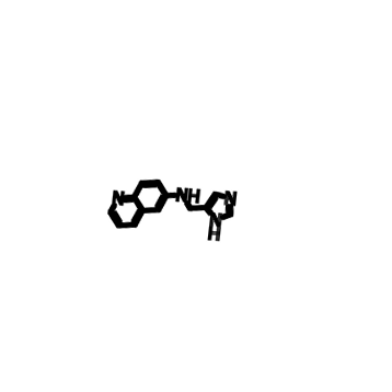 c1cnc2ccc(NCc3cnc[nH]3)cc2c1